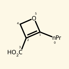 CCCC1=C(C(=O)O)CO1